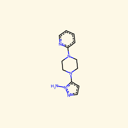 Nn1nccc1N1CCN(c2ccccn2)CC1